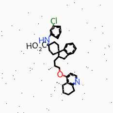 C[C@@H](COc1ccnc2c1[C@@H](C)CCC2)CC1Cc2ccccc2C12CCC(Nc1cccc(Cl)c1)(C(=O)O)CC2